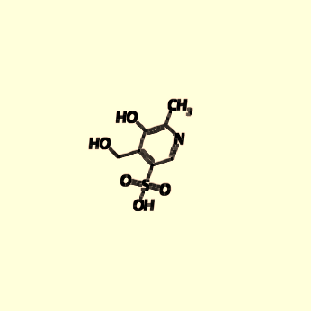 Cc1ncc(S(=O)(=O)O)c(CO)c1O